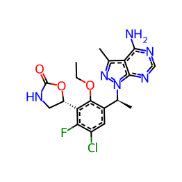 CCOc1c([C@H](C)n2nc(C)c3c(N)ncnc32)cc(Cl)c(F)c1[C@@H]1CNC(=O)O1